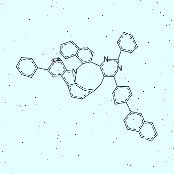 c1ccc(-c2nc(-c3ccc(-c4ccc5ccccc5c4)cc3)c3c(n2)-c2ccc4ccccc4c2-n2c4cc(ccc4c4cc(-c5ccccc5)c5ccccc5c42)C3)cc1